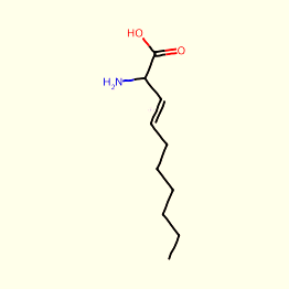 CCCCCC/C=C/C(N)C(=O)O